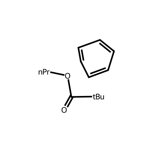 CCCOC(=O)C(C)(C)C.c1ccccc1